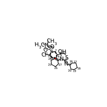 CN(C)S(=O)(=O)c1cc(C2(O)CSC(=NC3CCCCC3)N2C2CCCCC2)ccc1Cl